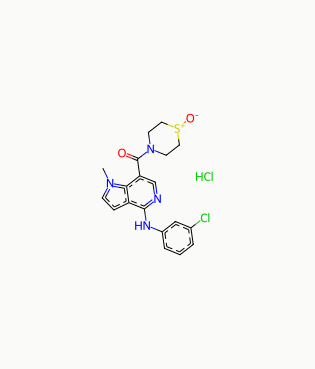 Cl.Cn1ccc2c(Nc3cccc(Cl)c3)ncc(C(=O)N3CC[S+]([O-])CC3)c21